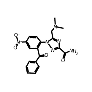 CN(C)Cc1nc(C(N)=O)nn1-c1ccc([N+](=O)[O-])cc1C(=O)c1ccccc1